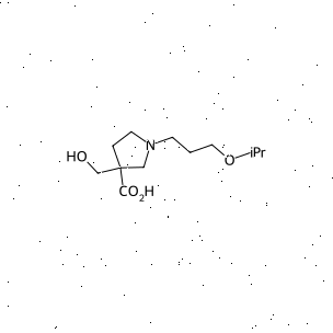 CC(C)OCCCN1CCC(CO)(C(=O)O)C1